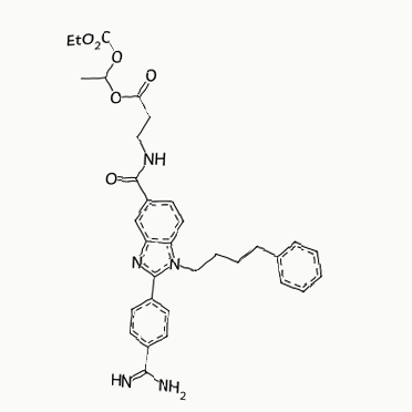 CCOC(=O)OC(C)OC(=O)CCNC(=O)c1ccc2c(c1)nc(-c1ccc(C(=N)N)cc1)n2CCCCc1ccccc1